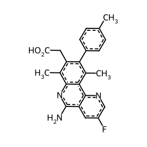 Cc1ccc(-c2c(CC(=O)O)c(C)c3nc(N)c4cc(F)cnc4c3c2C)cc1